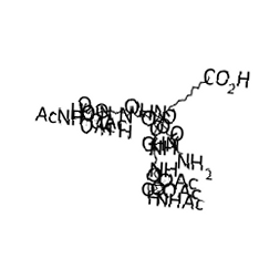 CC(=O)N[C@H]1[C@H]2OC[C@](CONCCCNC(=O)CCOCC(COCCC(=O)NCCCN)(COCCC(=O)NCCCNOC[C@@]34CO[C@@H](O3)[C@H](NC(C)=O)[C@@H](OC(C)=O)[C@H]4OC(C)=O)NC(=O)CCCCCCCCCCC(=O)O)(O2)[C@H](OC(C)=O)[C@@H]1OC(C)=O